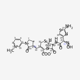 C[n+]1cccc(N2CC/C(=C\C3=C(C(=O)[O-])N4C(=O)[C@@H](NC(=O)/C(=N\O)c5csc(N)n5)[C@H]4SC3)C2=O)c1